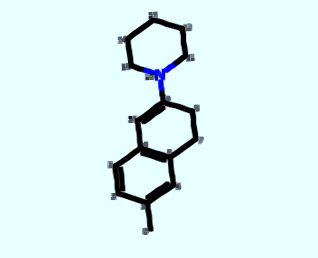 Cc1ccc2c(c1)CCC(N1CCCCC1)=C2